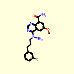 COc1cc(C(N)=O)c2ncnc(N(N)CCCc3cccc(Cl)c3)c2c1